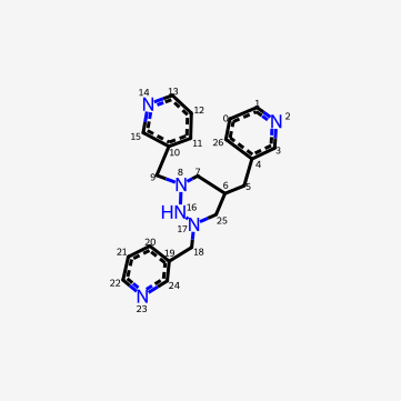 c1cncc(CC2CN(Cc3cccnc3)NN(Cc3cccnc3)C2)c1